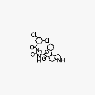 O=C1NC(S(=O)(=O)c2ccc3c(c2-c2ccccc2)CCN3)CN1C(=O)c1cc(Cl)cc(Cl)c1